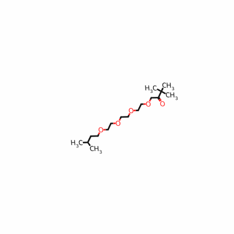 CC(C)CCOCCOCCOCCOCC(=O)C(C)(C)C